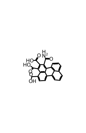 NC(=O)c1c(C(=O)O)c(C(=O)O)c2c(C(=O)O)ccc3c4cccc5cccc(c1c23)c54